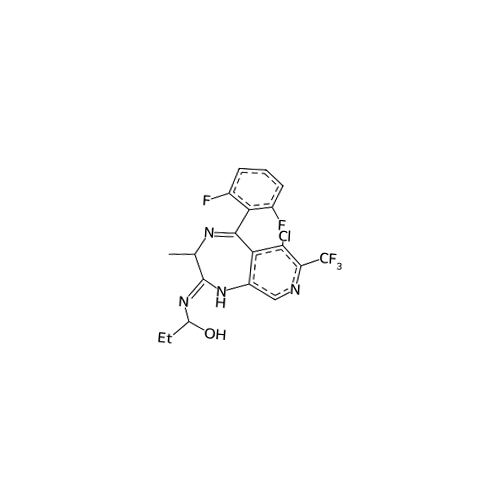 CCC(O)/N=C1\Nc2cnc(C(F)(F)F)c(Cl)c2C(c2c(F)cccc2F)=NC1C